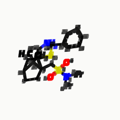 CC(C)N(C(C)C)S(=O)(=O)CC12CCC(CC1(CN)SCc1ccccc1)C2(C)C